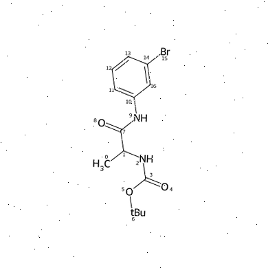 CC(NC(=O)OC(C)(C)C)C(=O)Nc1cccc(Br)c1